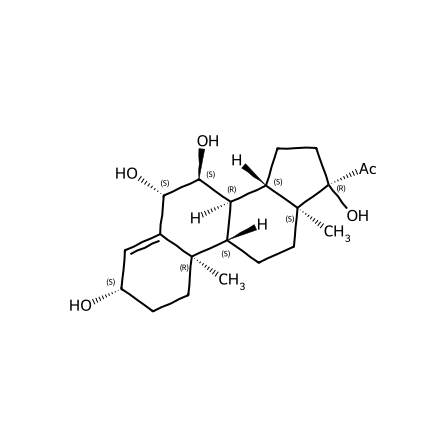 CC(=O)[C@@]1(O)CC[C@H]2[C@@H]3[C@H](O)[C@@H](O)C4=C[C@@H](O)CC[C@]4(C)[C@H]3CC[C@@]21C